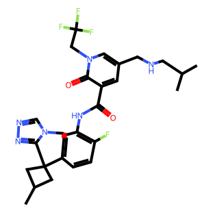 CC(C)CNCc1cc(C(=O)Nc2cc(C3(c4nncn4C)CC(C)C3)ccc2F)c(=O)n(CC(F)(F)F)c1